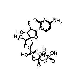 C[C@H](F)[C@]1(COP(=O)(O)OP(=O)(O)OP(=O)(O)O)O[C@@H](n2ccc(N)nc2=O)[C@@H](F)[C@H]1O